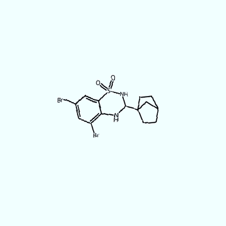 O=S1(=O)NC(C23CCC(CC2)C3)Nc2c(Br)cc(Br)cc21